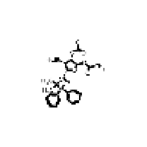 C#C[C@@H]1[C@@H](CO[Si](c2ccccc2)(c2ccccc2)C(C)(C)C)OC(OC(C)=O)[C@@H]1OC(C)=O